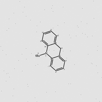 CC(C)(C)N1c2ccccc2Cc2ccccc21